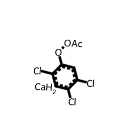 CC(=O)OOc1cc(Cl)c(Cl)cc1Cl.[CaH2]